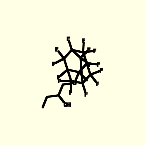 CCC(O)COC1(C)C2(F)C(F)(F)C3(F)C(F)(F)C(F)(C2(F)F)C(F)(F)C1(F)C3(F)F